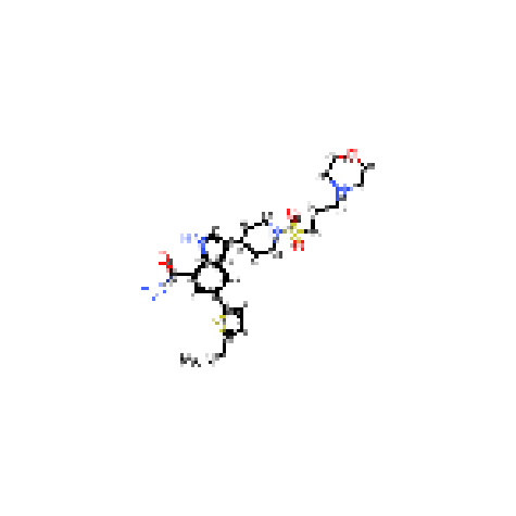 CNCc1ccc(-c2cc(C(N)=O)c3[nH]cc(C4CCN(S(=O)(=O)CCCN5CCOCC5)CC4)c3c2)s1